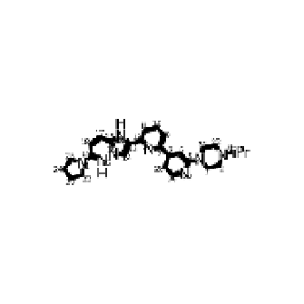 CC(C)N1CCN(C2=CC(c3cccc(-c4cnc(/C=C\C(=N)N5CCCC5)[nH]4)n3)CC=N2)CC1